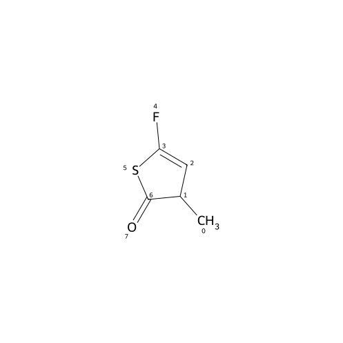 CC1C=C(F)SC1=O